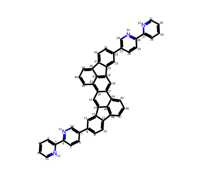 c1ccc(-c2ccc(-c3ccc4c(c3)c3cc5c(cc6c7cc(-c8ccc(-c9ccccn9)nc8)ccc7c7cccc5c76)c5cccc4c53)cn2)nc1